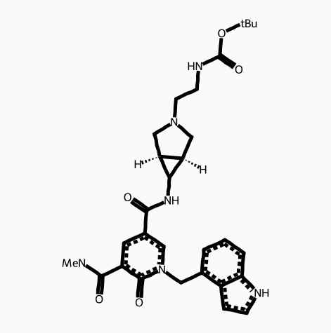 CNC(=O)c1cc(C(=O)NC2[C@H]3CN(CCNC(=O)OC(C)(C)C)C[C@@H]23)cn(Cc2cccc3[nH]ccc23)c1=O